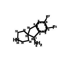 N[C@@H]1c2cc(F)c(F)cc2CC12CCNCC2